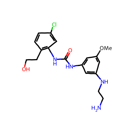 COc1cc(NCCN)cc(NC(=O)Nc2cc(Cl)ccc2CCO)c1